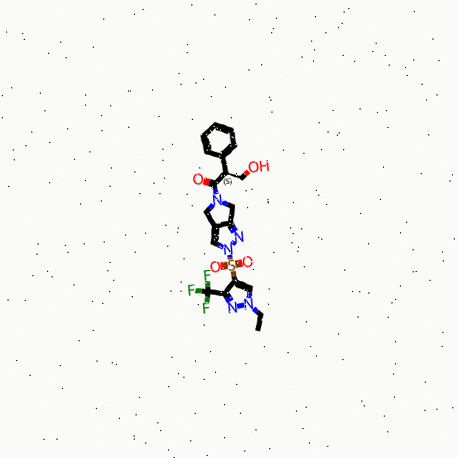 CCn1cc(S(=O)(=O)n2cc3c(n2)CN(C(=O)[C@H](CO)c2ccccc2)C3)c(C(F)(F)F)n1